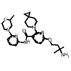 CC1CN(c2cccc(NC(=O)c3ccc(OCCC(C)(C)N)nc3N3CCC4(CC3)CC4)n2)CCO1